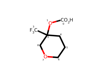 O=C(O)OC1(C(F)(F)F)CCCOC1